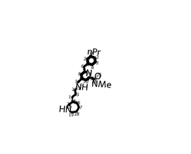 CCCc1cccc(Cc2cc(CNCCC[C@H]3CCCCNC3)cc(C(=O)NC)n2)c1